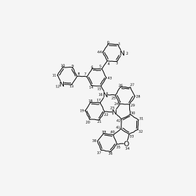 c1cncc(-c2cc(-c3cccnc3)cc(N3c4ccccc4-n4c5c3cccc5c3ccc5oc6ccccc6c5c34)c2)c1